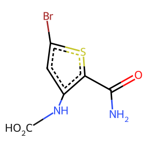 NC(=O)c1sc(Br)cc1NC(=O)O